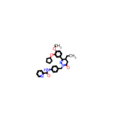 CCC1CC(=O)N(Cc2ccc(NC(=O)c3ccccn3)cc2)N=C1c1ccc(OC)c(OC2CCCC2)c1